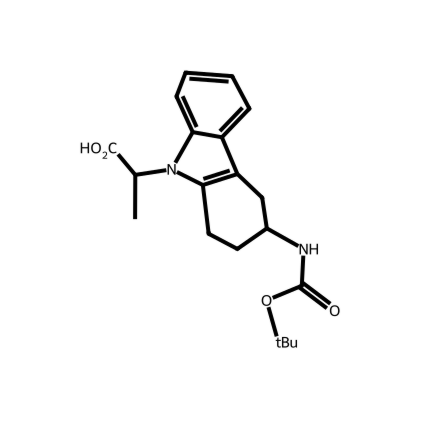 CC(C(=O)O)n1c2c(c3ccccc31)CC(NC(=O)OC(C)(C)C)CC2